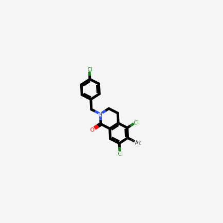 CC(=O)c1c(Cl)cc2c(c1Cl)CCN(Cc1ccc(Cl)cc1)C2=O